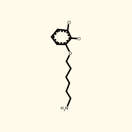 NCCCCCCOc1cccc(Cl)c1Cl